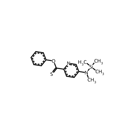 CN(c1ccc(C(=S)Oc2ccccc2)nc1)[Si](C)(C)C